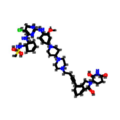 COc1cc(N2CCC(N3CCN(CCC#Cc4cccc5c4CN(C4CCC(=O)NC4=O)C5=O)CC3)CC2)ccc1Nc1ncc(Cl)c(Nc2ccccc2NS(C)(=O)=O)n1